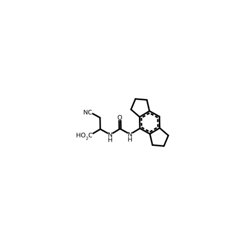 N#CCC(NC(=O)Nc1c2c(cc3c1CCC3)CCC2)C(=O)O